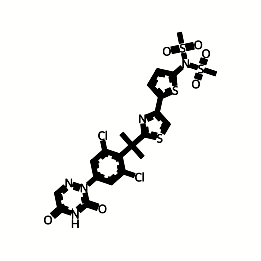 CC(C)(c1nc(-c2ccc(N(S(C)(=O)=O)S(C)(=O)=O)s2)cs1)c1c(Cl)cc(-n2ncc(=O)[nH]c2=O)cc1Cl